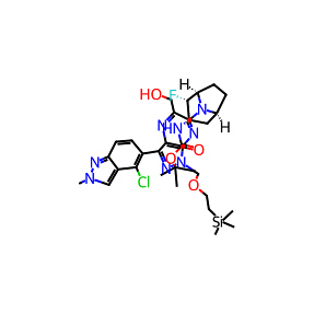 Cn1cc2c(Cl)c(-c3nn(COCC[Si](C)(C)C)c4nc(N5[C@H]6CC[C@@H]5[C@@H](F)[C@@H](NC(=O)OC(C)(C)C)C6)c(CO)nc34)ccc2n1